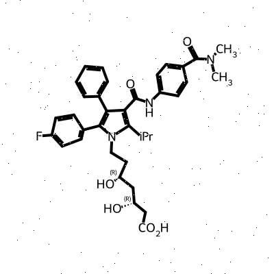 CC(C)c1c(C(=O)Nc2ccc(C(=O)N(C)C)cc2)c(-c2ccccc2)c(-c2ccc(F)cc2)n1CC[C@@H](O)C[C@@H](O)CC(=O)O